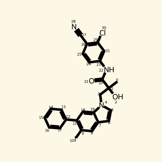 CC(O)(Cn1ccc2cc(I)c(-c3ccccc3)cc21)C(=O)Nc1ccc(C#N)c(Cl)c1